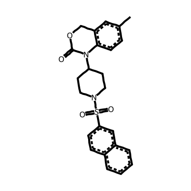 Cc1ccc2c(c1)COC(=O)N2C1CCN(S(=O)(=O)c2ccc3ccccc3c2)CC1